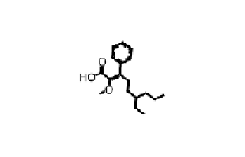 CCCC(CC)CC/C(=C(\OC)C(=O)O)c1ccccc1